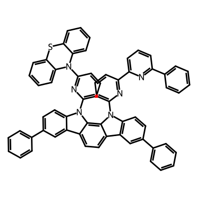 c1ccc(-c2ccc3c(c2)c2ccc4c5cc(-c6ccccc6)ccc5n(-c5cccc(N6c7ccccc7Sc7ccccc76)n5)c4c2n3-c2cccc(-c3cccc(-c4ccccc4)n3)n2)cc1